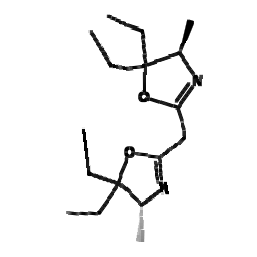 CCC1(CC)OC(CC2=N[C@H](C)C(CC)(CC)O2)=N[C@@H]1C